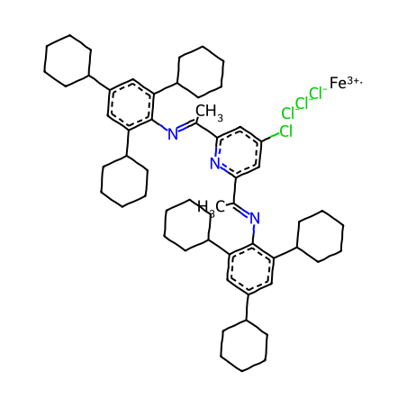 CC(=Nc1c(C2CCCCC2)cc(C2CCCCC2)cc1C1CCCCC1)c1cc(Cl)cc(C(C)=Nc2c(C3CCCCC3)cc(C3CCCCC3)cc2C2CCCCC2)n1.[Cl-].[Cl-].[Cl-].[Fe+3]